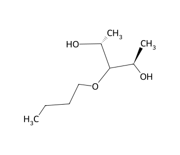 CCCCOC([C@@H](C)O)[C@@H](C)O